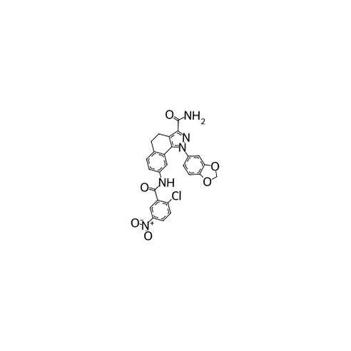 NC(=O)c1nn(-c2ccc3c(c2)OCO3)c2c1CCc1ccc(NC(=O)c3cc([N+](=O)[O-])ccc3Cl)cc1-2